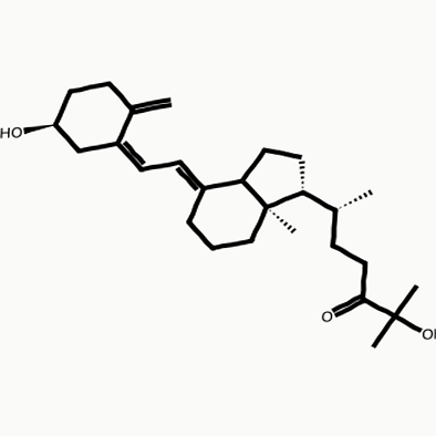 C=C1CC[C@H](O)C/C1=C/C=C1\CCC[C@@]2(C)C1CC[C@@H]2[C@H](C)CCC(=O)C(C)(C)O